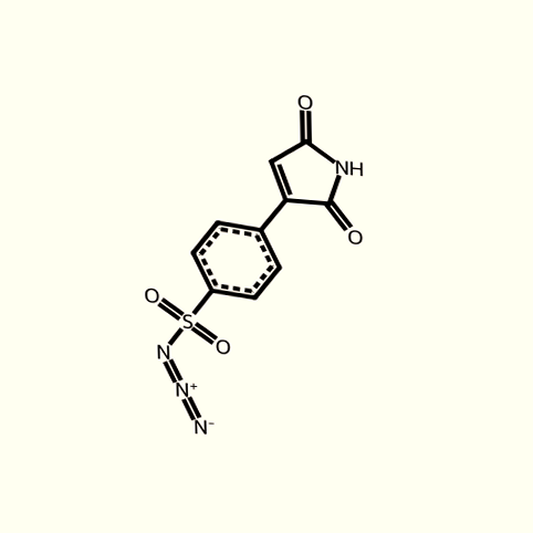 [N-]=[N+]=NS(=O)(=O)c1ccc(C2=CC(=O)NC2=O)cc1